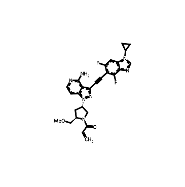 C=CC(=O)N1C[C@@H](n2nc(C#Cc3c(F)cc4c(ncn4C4CC4)c3F)c3c(N)nccc32)C[C@@H]1COC